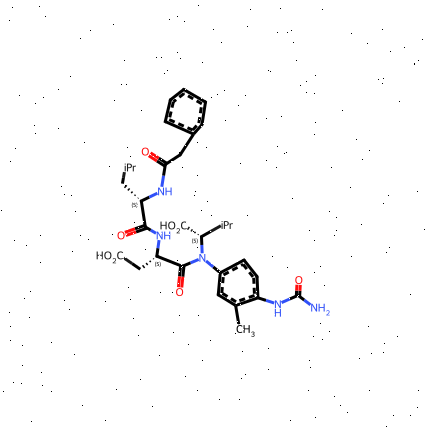 Cc1cc(N(C(=O)[C@H](CC(=O)O)NC(=O)[C@H](CC(C)C)NC(=O)Cc2ccccc2)[C@H](C(=O)O)C(C)C)ccc1NC(N)=O